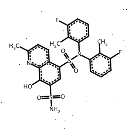 Cc1ccc2c(S(=O)(=O)N(c3cccc(F)c3C)c3cccc(F)c3C)cc(S(N)(=O)=O)c(O)c2n1